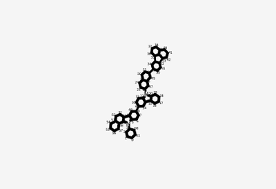 c1ccc(-n2c3ccc(-c4ccc5c(c4)c4ccccc4n5-c4ccc5ccc(-c6ccc7c(c6)-c6cccc8cccc-7c68)cc5c4)cc3c3ccc4ccccc4c32)cc1